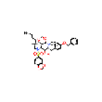 CC(C)(CCCC#N)CN(C(C1COCOC1)[C@H](O)[C@H](Cc1ccc(OCc2ccccc2)cc1)NC(=O)O)S(=O)(=O)c1ccc2c(c1)OCO2